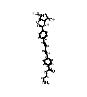 CC(O)C(NC(=O)c1ccc(C#CC#Cc2ccc(C(=O)NCCN)cc2)cc1)C(=O)NO